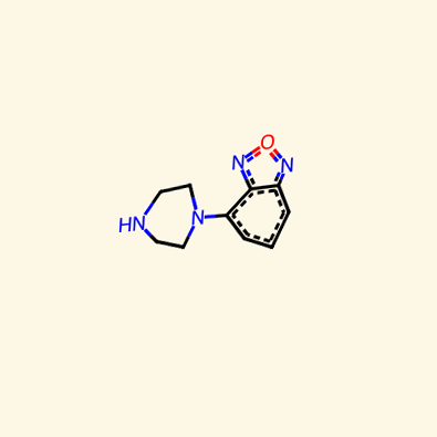 c1cc(N2CCNCC2)c2nonc2c1